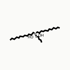 CCCCCCCCCCC(O)CN(CC(O)CCCCCCCCCC)SCCCC